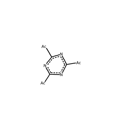 CC(=O)c1nc(C(C)=O)nc(C(C)=O)n1